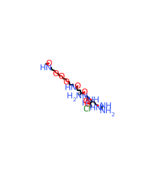 CC(=O)NCCCOCCOCCOCCCNC(=O)CC[C@H](N)C(=O)NCC(=O)N[C@@H](CCCNC(=N)N)C(=O)CCl